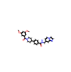 COc1cc(OC)cc(C(=O)N2CCC(c3ccc(C(=O)NCc4ccn5ccnc5c4)cc3)CC2)c1